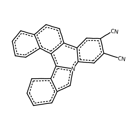 N#Cc1cc2c3ccc4ccccc4c3c3c4ccccc4cn3c2cc1C#N